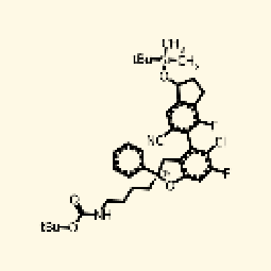 CC(C)(C)OC(=O)NCCCC[C@@]1(c2ccccc2)Cc2c(cc(F)c(Cl)c2-c2c(C#N)cc3c(c2F)CCC3O[Si](C)(C)C(C)(C)C)O1